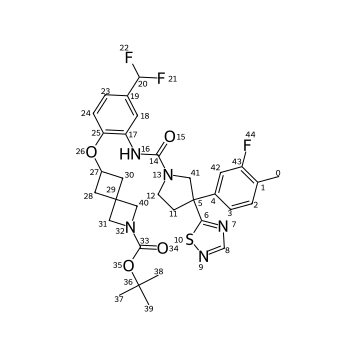 Cc1ccc(C2(c3ncns3)CCN(C(=O)Nc3cc(C(F)F)ccc3OC3CC4(C3)CN(C(=O)OC(C)(C)C)C4)C2)cc1F